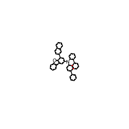 c1ccc(-c2ccc(N(c3cc(-c4ccc5ccccc5c4)c4oc5ccccc5c4c3)c3ccccc3-c3ccccc3)cc2)cc1